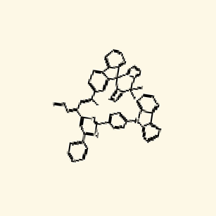 C=C/C=C(\C=C(/C)c1ccc2c(c1)C1(c3ccccc3-2)c2ccccc2C(C)(C)c2ccccc21)c1cc(-c2ccccc2)nc(-c2ccc(-n3c4ccccc4c4ccccc43)cc2)n1